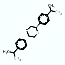 CC(C)c1ccc([C@@H]2CO[C@@H](c3ccc(C(C)C)cc3)CO2)cc1